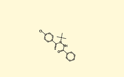 CC(C)(C)N(NC(=O)c1ccccc1)C(=S)c1ccc(Cl)cc1